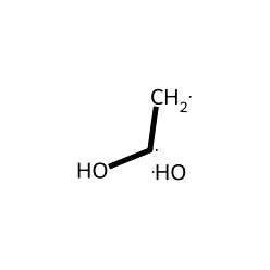 [CH2][CH]O.[OH]